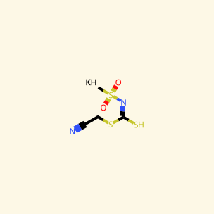 CS(=O)(=O)/N=C(/S)SCC#N.[KH]